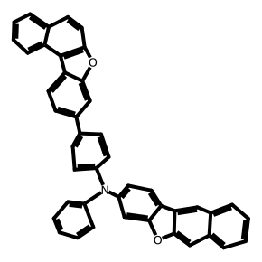 c1ccc(N(c2ccc(-c3ccc4c(c3)oc3ccc5ccccc5c34)cc2)c2ccc3c(c2)oc2cc4ccccc4cc23)cc1